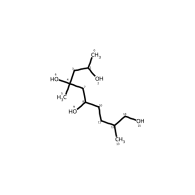 CC(O)CC(C)(O)CC(O)CCC(C)CO